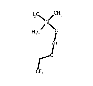 C[Si](C)(C)[O][Zn][O]CC(F)(F)F